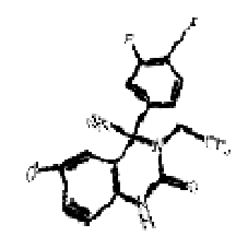 CCCC1(c2ccc(F)c(F)c2)c2cc(Cl)ccc2NC(=O)N1CC(F)(F)F